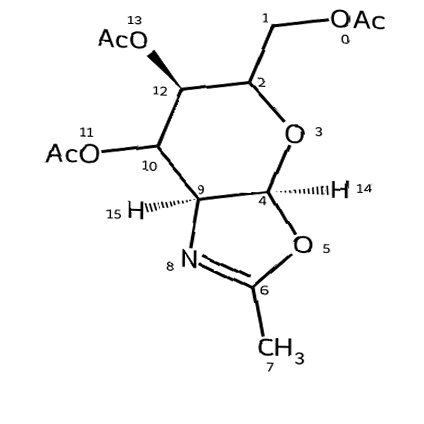 CC(=O)OCC1O[C@H]2OC(C)=N[C@H]2C(OC(C)=O)[C@H]1OC(C)=O